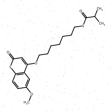 COc1ccc2sc(=O)cc(OCCCCCCCSC(=O)C(C)C)c2c1